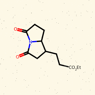 CCOC(=O)CCC1CC(=O)N2C(=O)CCC12